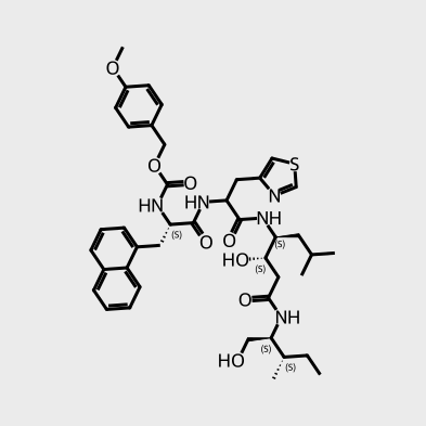 CC[C@H](C)[C@@H](CO)NC(=O)C[C@H](O)[C@H](CC(C)C)NC(=O)C(Cc1cscn1)NC(=O)[C@H](Cc1cccc2ccccc12)NC(=O)OCc1ccc(OC)cc1